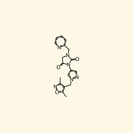 Cc1noc(C)c1Cn1cc(N2C(=O)CN(Cc3ccccn3)C2=O)cn1